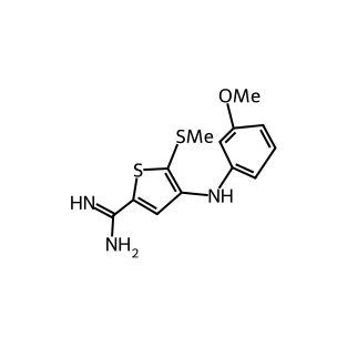 COc1cccc(Nc2cc(C(=N)N)sc2SC)c1